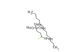 CCCCCC(F)CC[Si](OC)(OC)OC.CCCCCCCCCCCCC